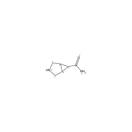 NC(=O)C1C2CNCC21